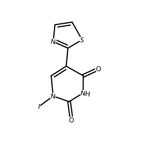 O=c1[nH]c(=O)n(I)cc1-c1nccs1